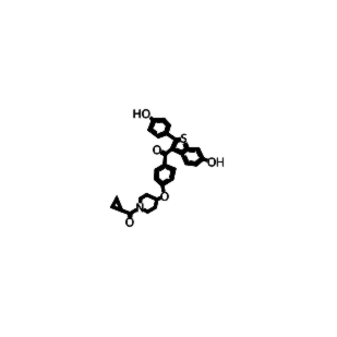 O=C(c1ccc(OC2CCN(C(=O)C3CC3)CC2)cc1)c1c(-c2ccc(O)cc2)sc2cc(O)ccc12